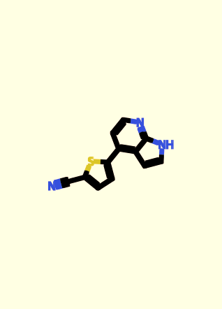 N#Cc1ccc(-c2ccnc3[nH]ccc23)s1